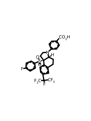 O=C(O)c1ccc(N2CC[C@@]3(S(=O)(=O)c4ccc(F)cc4)c4ccc(C(F)(C(F)(F)F)C(F)(F)F)cc4CC[C@@H]23)cc1